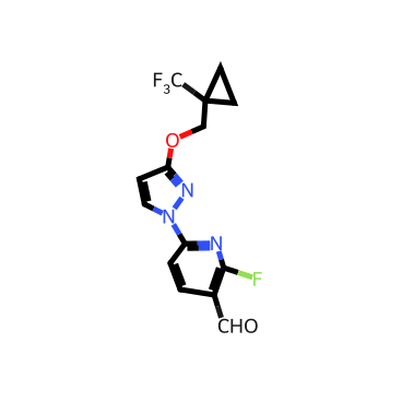 O=Cc1ccc(-n2ccc(OCC3(C(F)(F)F)CC3)n2)nc1F